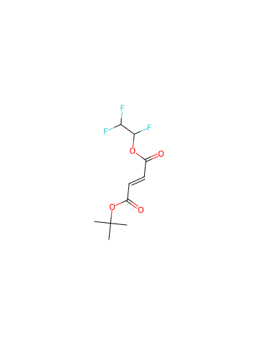 CC(C)(C)OC(=O)C=CC(=O)OC(F)C(F)F